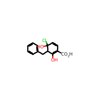 O=C(O)C1=C(O)C(Cc2ccccc2)C(O)(Cl)C=C1